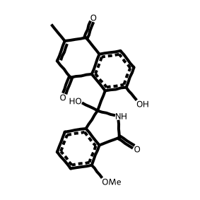 COc1cccc2c1C(=O)NC2(O)c1c(O)ccc2c1C(=O)C=C(C)C2=O